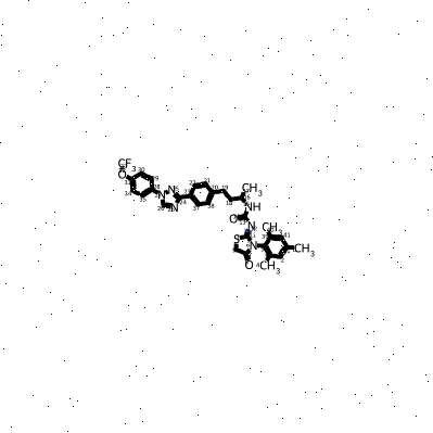 Cc1cc(C)c(N2C(=O)CS/C2=N\C(=O)NC(C)CCc2ccc(-c3ncn(-c4ccc(OC(F)(F)F)cc4)n3)cc2)c(C)c1